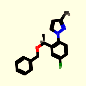 C[C@@H](OCc1ccccc1)c1cc(F)ccc1-n1ccc(C(F)(F)F)n1